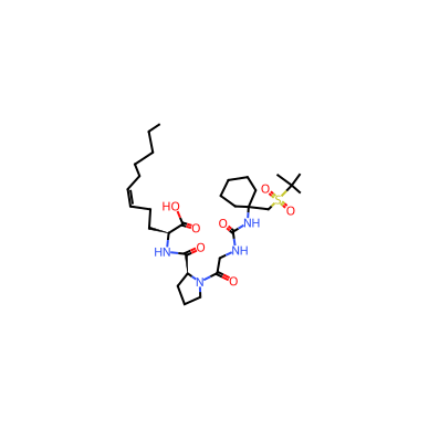 CCCCC/C=C\CC[C@H](NC(=O)[C@@H]1CCCN1C(=O)CNC(=O)NC1(CS(=O)(=O)C(C)(C)C)CCCCC1)C(=O)O